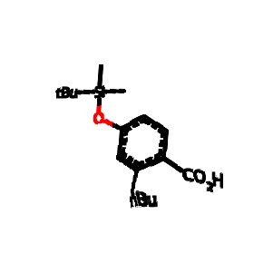 CCCCc1cc(O[Si](C)(C)C(C)(C)C)ccc1C(=O)O